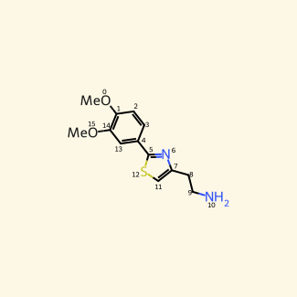 COc1ccc(-c2nc(CCN)cs2)cc1OC